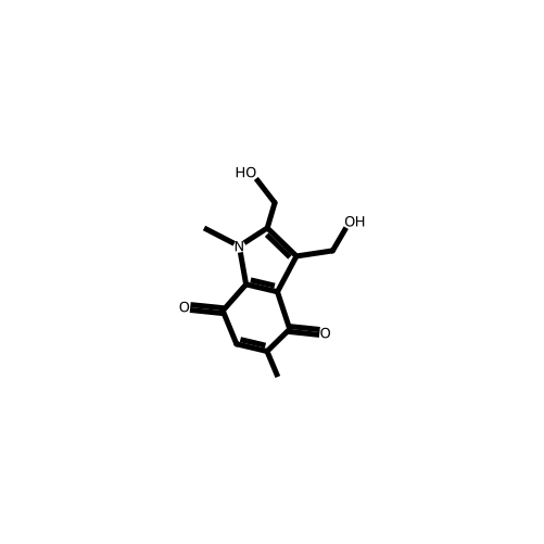 CC1=CC(=O)c2c(c(CO)c(CO)n2C)C1=O